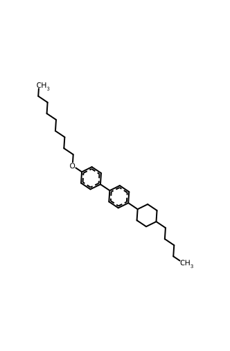 CCCCCCCCCOc1ccc(-c2ccc(C3CCC(CCCCC)CC3)cc2)cc1